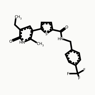 CCc1cc(-c2ccc(C(=O)NCc3ccc(C(F)(F)F)cc3)s2)c(C)[nH]c1=O